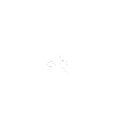 Nc1ncc(N2CCOCC2)cc1-n1cnc(C2CC2)c1